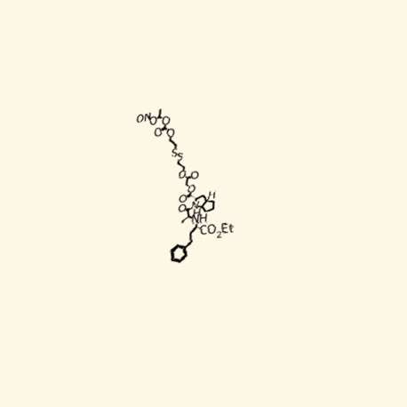 CCOC(=O)[C@H](CCc1ccccc1)N[C@@H](C)C(=O)N1[C@H](C(=O)OCC(=O)OCCSSCCOC(=O)OC(C)ON=O)C[C@@H]2CCC[C@@H]21